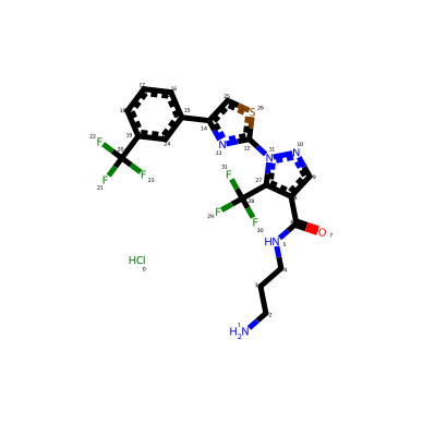 Cl.NCCCNC(=O)c1cnn(-c2nc(-c3cccc(C(F)(F)F)c3)cs2)c1C(F)(F)F